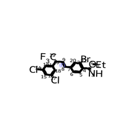 CCOC(=N)c1ccc(/C=C/C(c2cc(Cl)cc(Cl)c2)C(F)(F)F)cc1Br